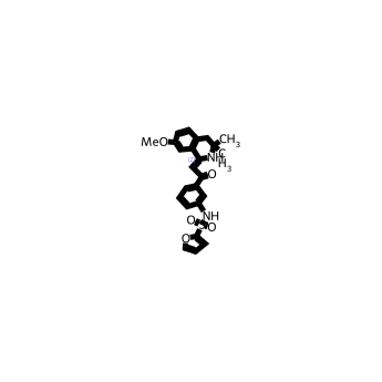 COc1ccc2c(c1)/C(=C/C(=O)c1cccc(NS(=O)(=O)c3ccco3)c1)NC(C)(C)C2